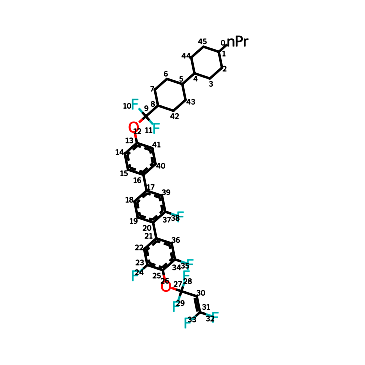 CCCC1CCC(C2CCC(C(F)(F)Oc3ccc(-c4ccc(-c5cc(F)c(OC(F)(F)C=C(F)F)c(F)c5)c(F)c4)cc3)CC2)CC1